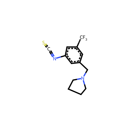 FC(F)(F)c1cc(CN2CCCC2)cc(N=C=S)c1